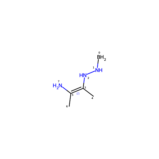 BNN/C(C)=C(/C)N